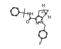 CC(C)(NC(=O)c1nn(Cc2ccc(F)cc2)c2c1C[C@H]1C[C@@H]21)c1ccccc1